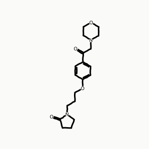 O=C(CN1CCOCC1)c1ccc(OCCCN2CCCC2=O)cc1